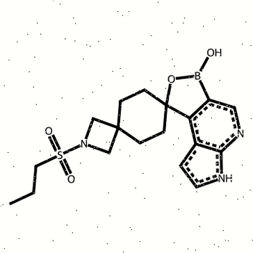 CCCS(=O)(=O)N1CC2(CCC3(CC2)OB(O)c2cnc4[nH]ccc4c23)C1